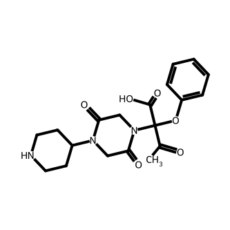 CC(=O)C(Oc1ccccc1)(C(=O)O)N1CC(=O)N(C2CCNCC2)CC1=O